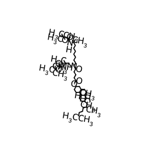 CC(C)CCC[C@@H](C)[C@H]1CC[C@H]2[C@@H]3CC=C4C[C@@H](OC(=O)CCCC(=O)N(CCCCCCCC(C)NC(=O)OC(C)(C)C)CCC(C)NC(=O)OC(C)(C)C)CC[C@]4(C)[C@H]3CC[C@]12C